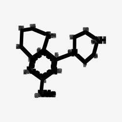 CNc1nc2c(c(N3CCNCC3)n1)SCCC2